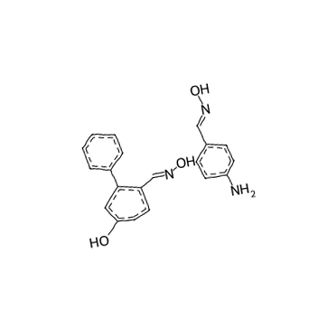 Nc1ccc(C=NO)cc1.ON=Cc1ccc(O)cc1-c1ccccc1